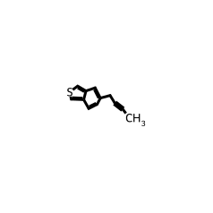 CC#CCc1ccc2cscc2c1